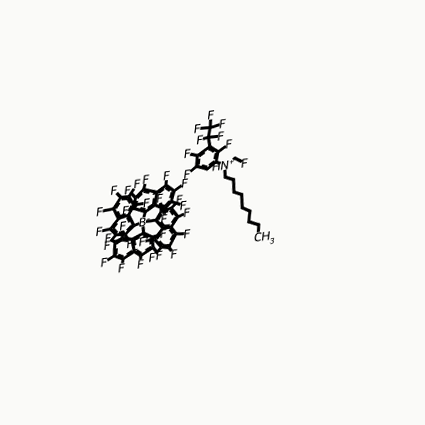 CCCCCCCCC[NH+](CF)c1cc(F)c(F)c(C(F)(F)C(F)(F)F)c1F.Fc1c(F)c(F)c2c([B-](c3c(F)c(F)c(F)c4c(F)c(F)c(F)c(F)c34)(c3c(F)c(F)c(F)c4c(F)c(F)c(F)c(F)c34)c3c(F)c(F)c(F)c4c(F)c(F)c(F)c(F)c34)c(F)c(F)c(F)c2c1F